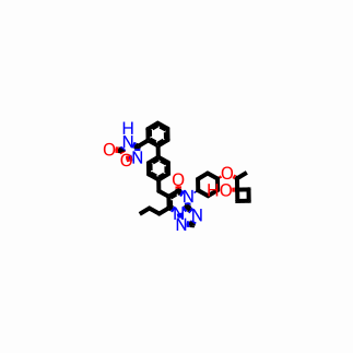 CCCc1c(Cc2ccc(-c3ccccc3-c3noc(=O)[nH]3)cc2)c(=O)n([C@H]2CC[C@H](OC(C)C3(O)CCC3)CC2)c2ncnn12